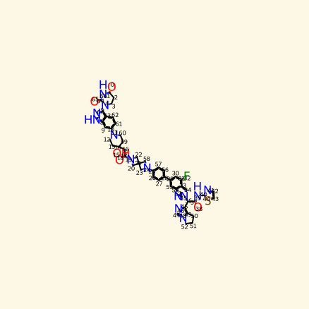 O=C1CCN(c2n[nH]c3cc(N4CCC(O)(CC(=O)N5CC6(C5)CN(c5ccc(-c7cc(F)c8cn(C(C(=O)Nc9nccs9)c9ncn%10c9CCC%10)nc8c7)cc5)C6)CC4)ccc23)C(=O)N1